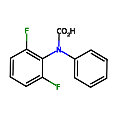 O=C(O)N(c1ccccc1)c1c(F)cccc1F